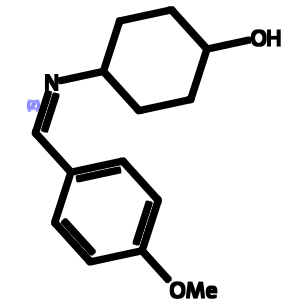 COc1ccc(/C=N\C2CCC(O)CC2)cc1